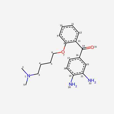 CN(C)CCCCOc1ccccc1C(=O)c1ccc(N)c(N)c1